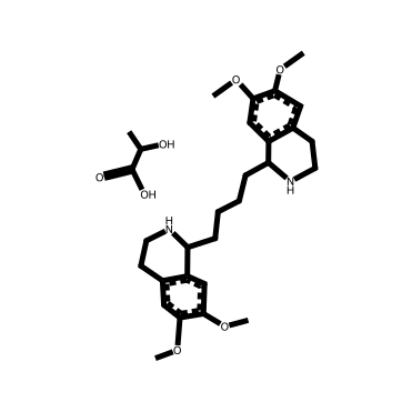 CC(O)C(=O)O.COc1cc2c(cc1OC)C(CCCCC1NCCc3cc(OC)c(OC)cc31)NCC2